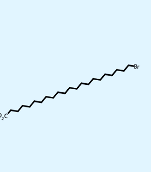 CCOC(=O)CCCCCCCCCCCCCCCCCCCCCBr